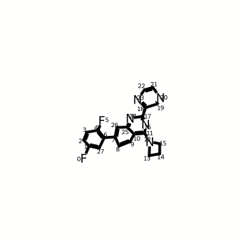 Fc1ccc(F)c(-c2ccc3c(N4CCC4)nc(-c4cnccn4)nc3c2)c1